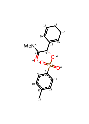 CNC(=O)[C@@H](OS(=O)(=O)c1ccc(C)cc1)C1=CCCC=C1